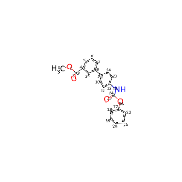 COC(=O)c1cccc(-c2ccc(NC(=O)Oc3ccccc3)cc2)c1